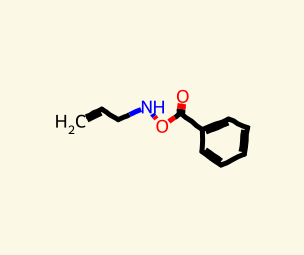 C=CCNOC(=O)c1ccccc1